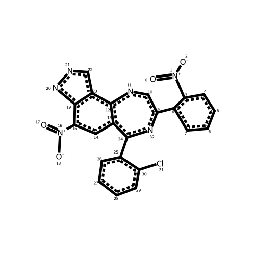 O=[N+]([O-])c1ccccc1-c1cnc2c(cc([N+](=O)[O-])c3nncc32)c(-c2ccccc2Cl)n1